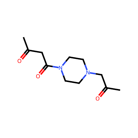 CC(=O)CC(=O)N1CCN(CC(C)=O)CC1